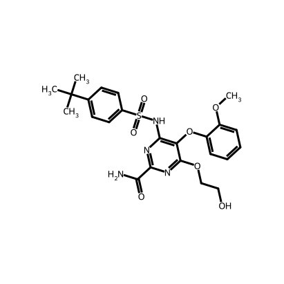 COc1ccccc1Oc1c(NS(=O)(=O)c2ccc(C(C)(C)C)cc2)nc(C(N)=O)nc1OCCO